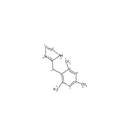 Cc1cc(C)c(Cc2ncc[nH]2)c(C)c1